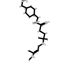 CO/C(C)=C/COC(C)(C)CCC(=O)NCC1CCC(CN)CC1